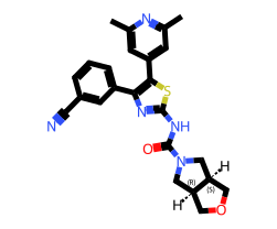 Cc1cc(-c2sc(NC(=O)N3C[C@H]4COC[C@H]4C3)nc2-c2cccc(C#N)c2)cc(C)n1